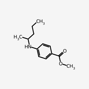 CCCC(C)Nc1ccc(C(=O)OC)cc1